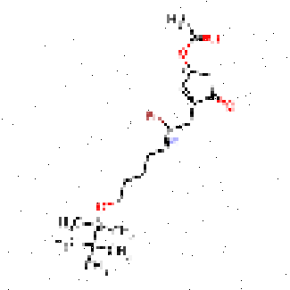 CC(=O)O[C@H]1C=C(C/C(Br)=C/CCCCO[Si](C)(C)C(C)(C)C)C(=O)C1